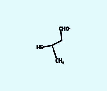 CC(S)C[C]=O